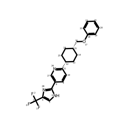 FC(F)(F)c1c[nH]c(-c2ccc([C@H]3CC[C@@H](COc4ccccc4)CC3)nc2)n1